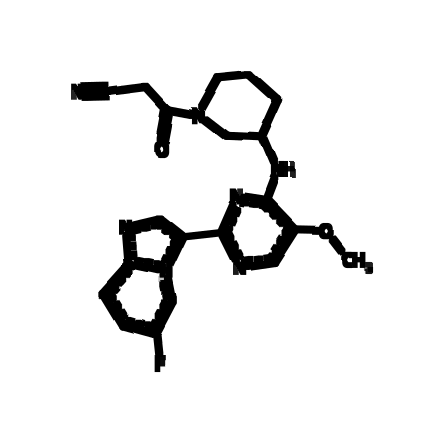 COc1cnc(-c2cnc3ccc(F)cn23)nc1NC1CCCN(C(=O)CC#N)C1